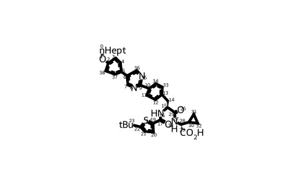 CCCCCCCOc1ccc(-c2cnc(-c3ccc(C[C@H](NC(=O)c4ccc(C(C)(C)C)s4)C(=O)N[C@@H](C(=O)O)C4CC4)cc3)nc2)cc1